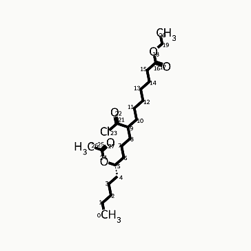 CCCCC[C@@H](CCCC(CCCCCCC(=O)OCC)C(=O)Cl)OC(C)=O